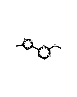 COc1nccc(-c2cc(C)ns2)n1